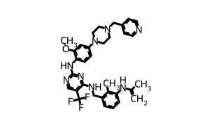 C=C(C)Nc1cccc(CNc2nc(Nc3ccc(N4CCN(Cc5ccncc5)CC4)cc3OC)ncc2C(F)(F)F)c1C